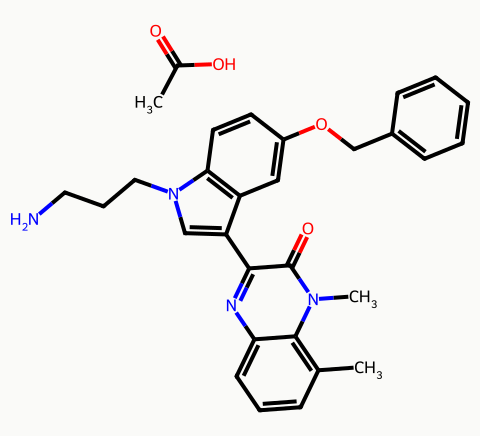 CC(=O)O.Cc1cccc2nc(-c3cn(CCCN)c4ccc(OCc5ccccc5)cc34)c(=O)n(C)c12